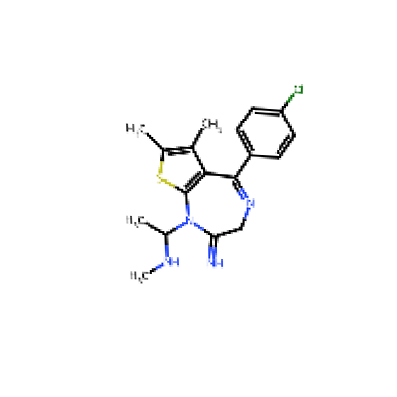 CNC(C)N1C(=N)CN=C(c2ccc(Cl)cc2)c2c1sc(C)c2C